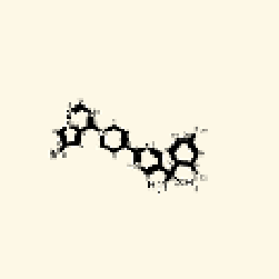 C[C@@](N)(c1cnc(C2=CCN(c3ncnn4cc(Br)cc34)CC2)nc1)c1ccc(F)cc1F